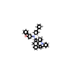 CC1(C)c2ccccc2C2(c3ccccc3-n3c4ccccc4c4cccc2c43)c2ccc(N(c3ccc(-c4ccccc4)cc3)c3ccc4oc5ccccc5c4c3)cc21